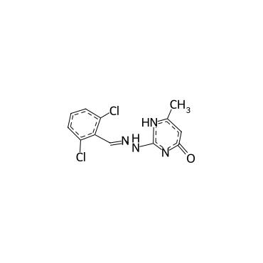 Cc1cc(=O)nc(N/N=C/c2c(Cl)cccc2Cl)[nH]1